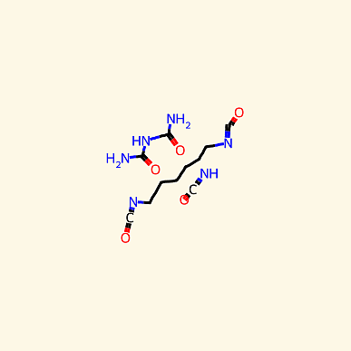 N=C=O.NC(=O)NC(N)=O.O=C=NCCCCCCN=C=O